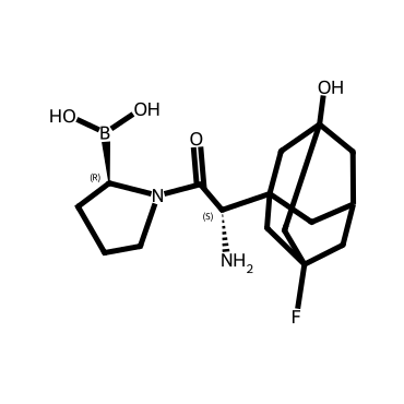 N[C@H](C(=O)N1CCC[C@H]1B(O)O)C12CC3CC(O)(CC(F)(C3)C1)C2